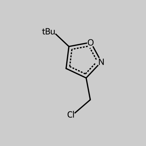 CC(C)(C)c1cc(CCl)no1